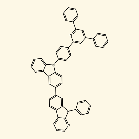 c1ccc(-c2cc(-c3ccccc3)nc(-c3ccc(-n4c5ccccc5c5cc(-c6ccc7c8cccnc8n(-c8ccccc8)c7c6)ccc54)cc3)c2)cc1